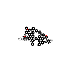 C/C(O)=C(\C)C(=O)CCc1ccccc1-c1cc(-c2ccccc2-c2ccc(-c3cc(C)c(-c4ccc(-c5cccc(-c6cc(-c7ccccc7)c(-c7ccccc7-c7cc(-c8ccccc8CCC(=O)/C(C)=C(\O)C(C)(C)C)cc(-c8ccccc8-c8ccc(-c9cc(C)c(-c%10ccccc%10)cn9)cc8)c7)cn6)c5)cc4)cn3)cc2)cc(-c2ccccc2-c2cnc(-c3ccccc3)cc2-c2ccccc2)c1